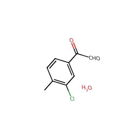 Cc1ccc(C(=O)C=O)cc1Cl.O